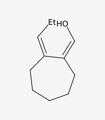 CC/C=C1/CCCCC/C1=C/O